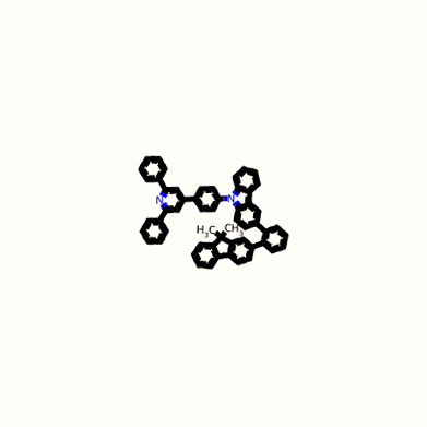 CC1(C)c2ccccc2-c2ccc(-c3ccccc3-c3ccc4c(c3)c3ccccc3n4-c3ccc(-c4cc(-c5ccccc5)nc(-c5ccccc5)c4)cc3)cc21